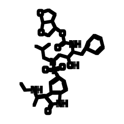 CCN/C(C)=C1/C(=O)Nc2ccc(S(=O)(=O)N(CC(C)C)CC(O)C(Cc3ccccc3)NC(=O)OC3COC4OCCC34)cc21